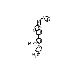 Cc1cc(-c2ccc3c(c2)OCc2nc(CN4CCOCC4)cn2-3)ccc1N1CCN(C)CC1